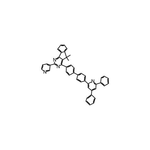 CC1(C)c2ccccc2-c2nc(-c3cccnc3)nc(-c3ccc(-c4ccc(-c5cc(-c6ccccc6)cc(-c6ccccc6)n5)cc4)cc3)c21